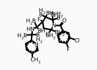 BC(B)(NC(B)(B)C1(F)CC(B)(B)N(C(=O)c2ccc(F)c(Cl)c2)C(B)(B)C1(B)B)c1ccc(C)cn1